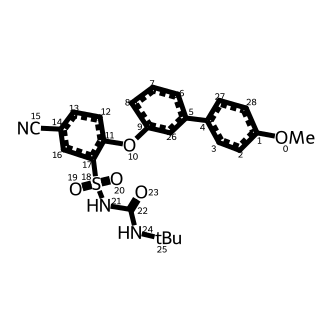 COc1ccc(-c2cccc(Oc3ccc(C#N)cc3S(=O)(=O)NC(=O)NC(C)(C)C)c2)cc1